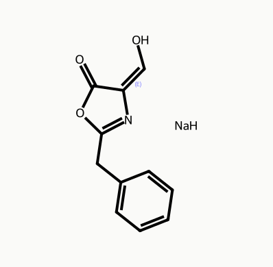 O=C1OC(Cc2ccccc2)=N/C1=C/O.[NaH]